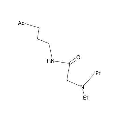 CCN(CC(=O)NCCCC(C)=O)C(C)C